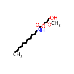 CCCCCCCCCCCCNC(=O)OCC(CO)OC